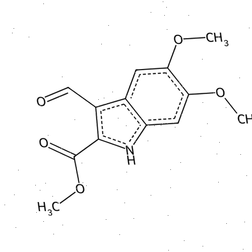 COC(=O)c1[nH]c2cc(OC)c(OC)cc2c1C=O